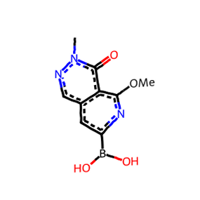 COc1nc(B(O)O)cc2cnn(C)c(=O)c12